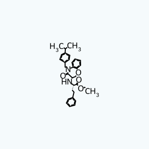 CCOC(=O)[C@H](CCc1ccccc1)N[C@H]1COc2ccccc2N(Cc2ccc(C(C)C)cc2)C1=O